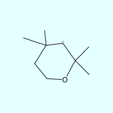 CC1(C)[C]C(C)(C)OCC1